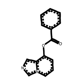 O=C(Oc1cccn2cncc12)c1ccccc1